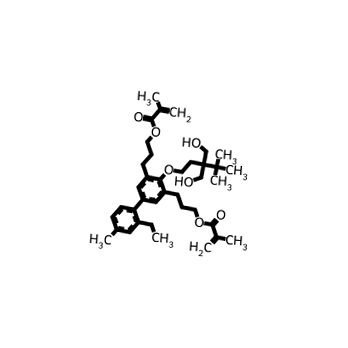 C=C(C)C(=O)OCCCc1cc(-c2ccc(C)cc2CC)cc(CCCOC(=O)C(=C)C)c1OCCC(CO)(CO)C(C)(C)C